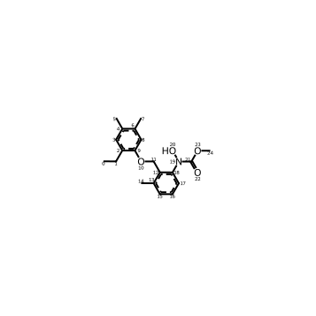 CCc1cc(C)c(C)cc1OCc1c(C)cccc1N(O)C(=O)OC